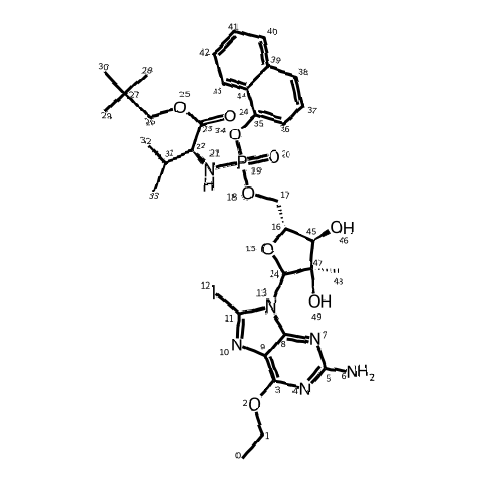 CCOc1nc(N)nc2c1nc(I)n2C1O[C@H](COP(=O)(N[C@H](C(=O)OCC(C)(C)C)C(C)C)Oc2cccc3ccccc23)[C@@H](O)[C@@]1(C)O